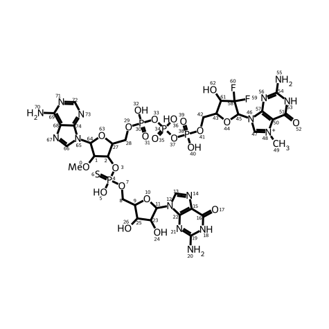 COC1C(OP(O)(=S)OCC2OC(n3cnc4c(=O)[nH]c(N)nc43)C(O)C2O)C(COP(=O)(O)OP(=O)(O)OP(=O)(O)OCC2OC(n3c[n+](C)c4c(=O)[nH]c(N)nc43)C(F)(F)C2O)OC1n1cnc2c(N)ncnc21